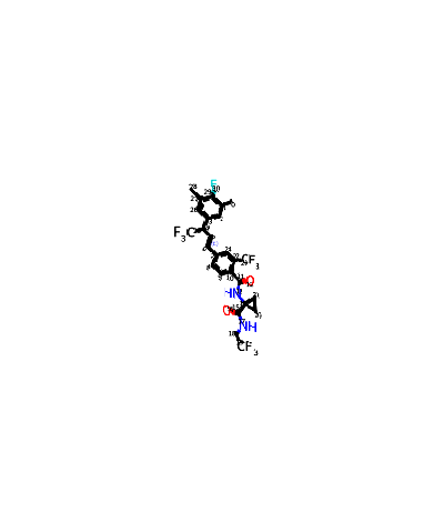 Cc1cc(C(/C=C/c2ccc(C(=O)NC3(C(=O)NCC(F)(F)F)CC3)c(C(F)(F)F)c2)C(F)(F)F)cc(C)c1F